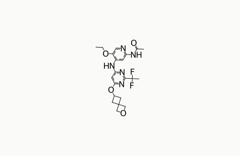 CCOc1cnc(NC(C)=O)cc1Nc1cc(OC2CC3(COC3)C2)nc(C(C)(F)F)n1